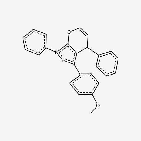 COc1ccc(-c2nn(-c3ccccc3)c3c2C(c2ccccc2)C=CO3)cc1